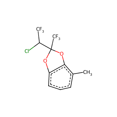 Cc1cccc2c1OC(C(Cl)C(F)(F)F)(C(F)(F)F)O2